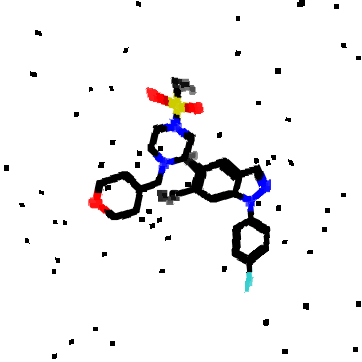 Cc1cc2c(cnn2-c2ccc(F)cc2)cc1[C@@H]1CN(S(C)(=O)=O)CCN1CC1CCOCC1